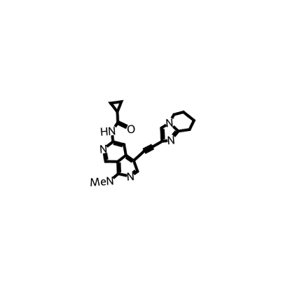 CNc1ncc(C#Cc2cn3c(n2)CCCC3)c2cc(NC(=O)C3CC3)ncc12